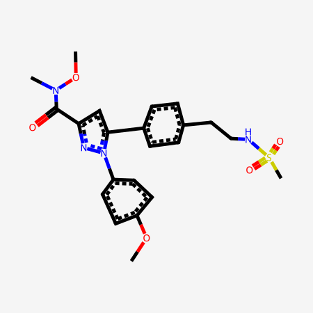 COc1ccc(-n2nc(C(=O)N(C)OC)cc2-c2ccc(CCNS(C)(=O)=O)cc2)cc1